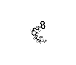 C[C@@H](C(=O)N[C@H]1CCO[C@H]2CCC(C(=O)Nc3cccc4ccccc34)N2C1=O)N(C)C(=O)O